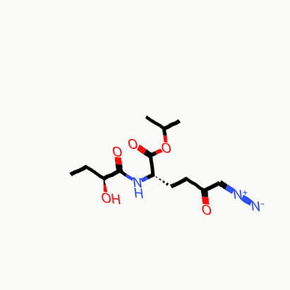 CC[C@H](O)C(=O)N[C@@H](CCC(=O)C=[N+]=[N-])C(=O)OC(C)C